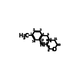 Cc1ccc(CN2CCOCC2)c(N)c1